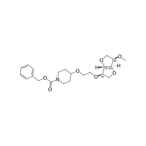 CO[C@@H]1CO[C@@H]2[C@@H]1OC[C@H]2OCCOC1CCN(C(=O)OCc2ccccc2)CC1